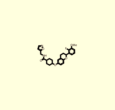 COc1cccc(C2CCc3cc(OC4CCC(C(=O)NCc5ccno5)CC4)ccc3O2)c1F